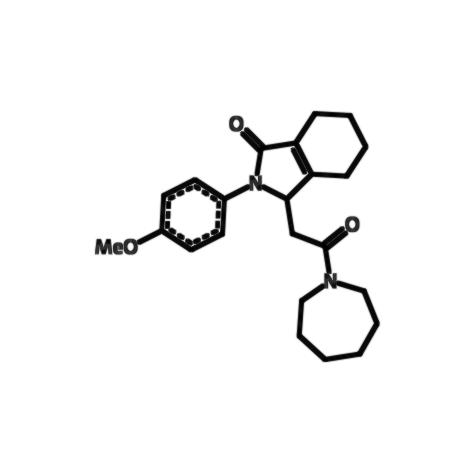 COc1ccc(N2C(=O)C3=C(CCCC3)C2CC(=O)N2CCCCCC2)cc1